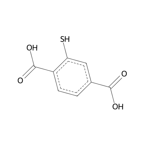 O=C(O)c1ccc(C(=O)O)c(S)c1